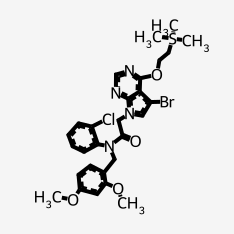 COc1ccc(CN(C(=O)Cn2cc(Br)c3c(OCCS(C)(C)C)ncnc32)c2ccccc2Cl)c(OC)c1